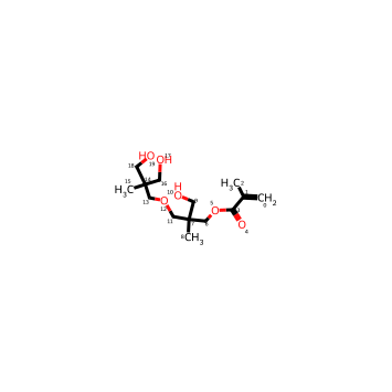 C=C(C)C(=O)OCC(C)(CO)COCC(C)(CO)CO